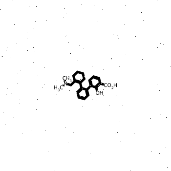 CN(C)CC1=C(c2ccccc2-c2cccc(C(=O)O)c2O)CCCC1